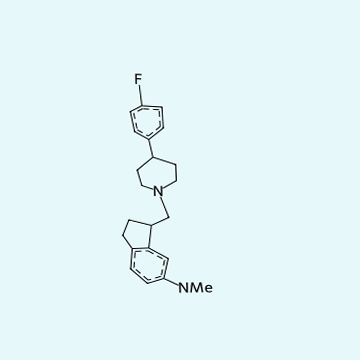 CNc1ccc2c(c1)C(CN1CCC(c3ccc(F)cc3)CC1)CC2